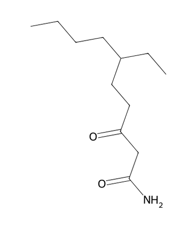 CCCCC(CC)CCC(=O)CC(N)=O